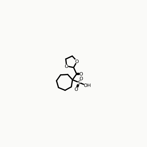 O=C(C1OCCO1)C1(S(=O)(=O)O)CCCCCC1